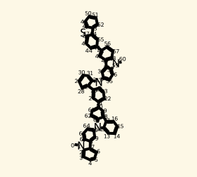 Cn1c2ccccc2c2cc(-n3c4ccccc4c4cc(-c5ccc6c(c5)c5ccccc5n6-c5ccc6c(c5)c5cc(-c7ccc8sc9ccccc9c8c7)ccc5n6C)ccc43)ccc21